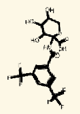 O=C(NC1(C(=O)O)OCC(O)C(O)C1O)c1cc(C(F)(F)F)cc(C(F)(F)F)c1